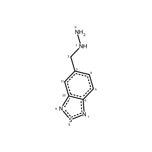 NNCc1ccc2nsnc2c1